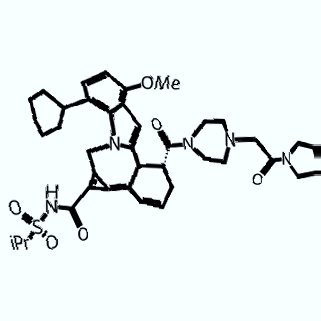 COc1ccc(C2CCCCC2)c2c1cc1n2CC2=C(C(=O)NS(=O)(=O)C(C)C)C2=C2C=CC[C@@H](C(=O)N3CCN(CC(=O)N4CCCC4)CC3)C21